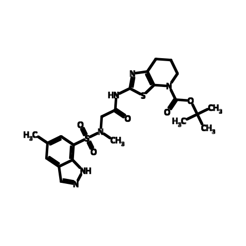 Cc1cc(S(=O)(=O)N(C)CC(=O)Nc2nc3c(s2)N(C(=O)OC(C)(C)C)CCC3)c2[nH]ncc2c1